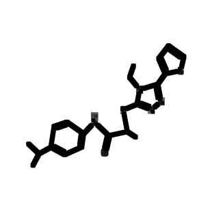 CCn1c(SC(C)C(=O)Nc2ccc(C(C)C)cc2)nnc1-c1cccs1